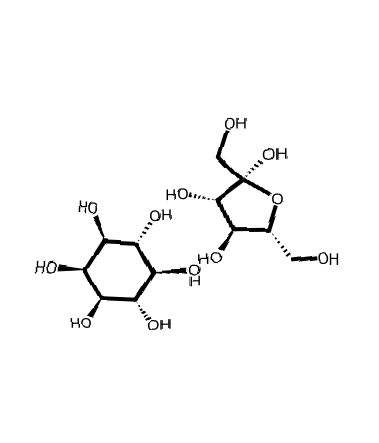 OC[C@H]1O[C@](O)(CO)[C@@H](O)[C@@H]1O.O[C@H]1[C@H](O)[C@@H](O)[C@H](O)[C@@H](O)[C@H]1O